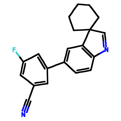 N#Cc1cc(F)cc(-c2ccc3c(c2)C2(C=N3)CCCCC2)c1